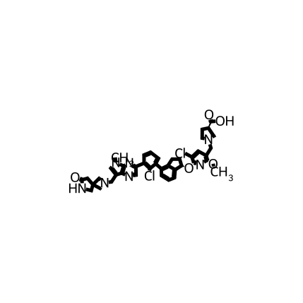 COc1nc(O[C@H]2CCc3c(-c4cccc(-c5cnc6c(CN7CC8(CNC(=O)C8)C7)cn(C)c6n5)c4Cl)cccc32)c(Cl)cc1CN1CC[C@@H](C(=O)O)C1